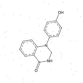 O=C1NCN(c2ccc(O)cc2)c2ccccc21